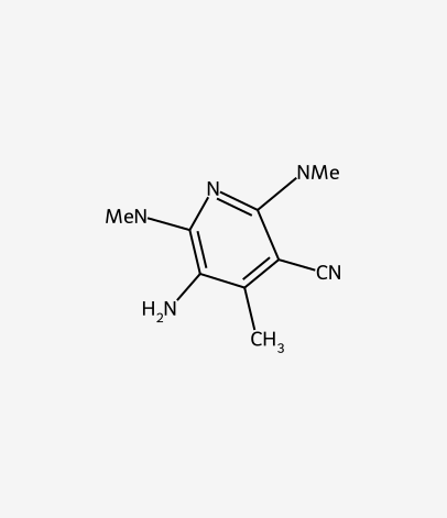 CNc1nc(NC)c(C#N)c(C)c1N